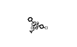 O=S(=O)(CC1CC1)c1sc(-c2ccccc2)nc1S(=O)(=O)c1ccc(Cl)cc1